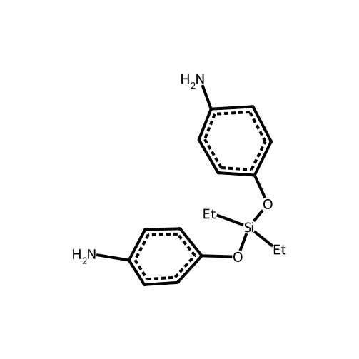 CC[Si](CC)(Oc1ccc(N)cc1)Oc1ccc(N)cc1